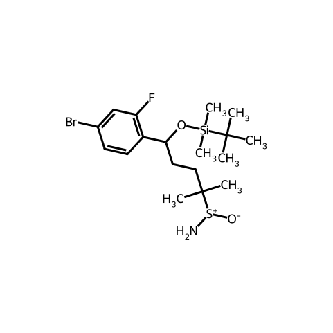 CC(C)(CCC(O[Si](C)(C)C(C)(C)C)c1ccc(Br)cc1F)[S+](N)[O-]